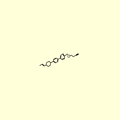 C#CCCOCc1ccc(-c2ccc(C3CCC(/C=C/C)CC3)cc2)cc1